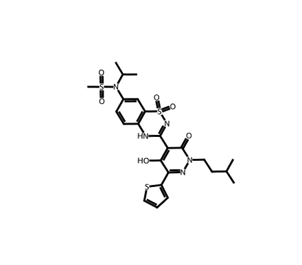 CC(C)CCn1nc(-c2cccs2)c(O)c(C2=NS(=O)(=O)c3cc(N(C(C)C)S(C)(=O)=O)ccc3N2)c1=O